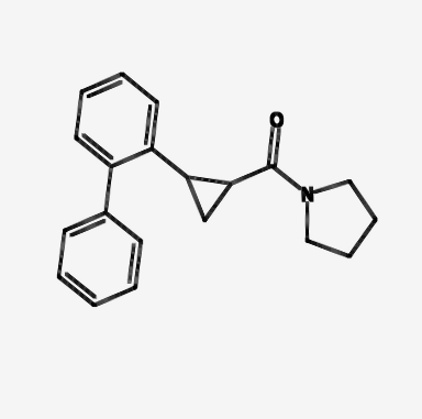 O=C(C1CC1c1ccccc1-c1ccccc1)N1CCCC1